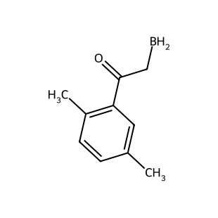 BCC(=O)c1cc(C)ccc1C